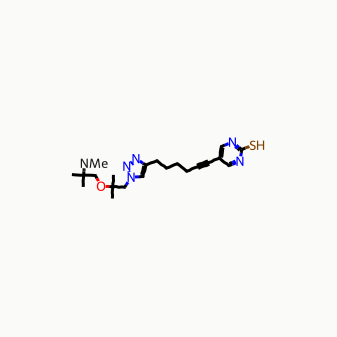 CNC(C)(C)COC(C)(C)Cn1cc(CCCCC#Cc2cnc(S)nc2)nn1